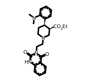 CCOC(=O)[C@H]1CN(CCn2c(=O)[nH]c3ccccc3c2=O)CC[C@H]1c1ccccc1N(C)C